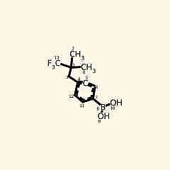 CC(C)(Cc1ccc(B(O)O)cc1)C(F)(F)F